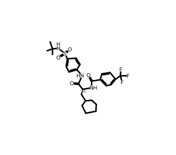 CC(C)(C)NS(=O)(=O)c1ccc(NC(=O)[C@H](CC2CCCCC2)NC(=O)c2ccc(C(F)(F)F)cc2)cc1